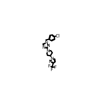 FC(F)(F)c1ccn(C2CCN(c3ncn(Cc4ccc(Cl)cc4)n3)CC2)n1